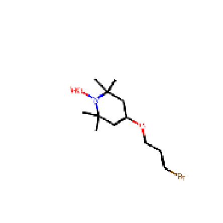 CC1(C)CC(OCCCBr)CC(C)(C)N1O